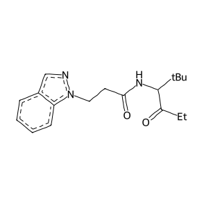 CCC(=O)C(NC(=O)CCn1ncc2ccccc21)C(C)(C)C